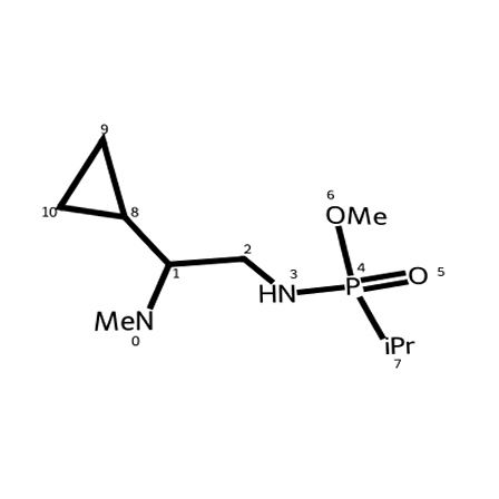 CNC(CNP(=O)(OC)C(C)C)C1CC1